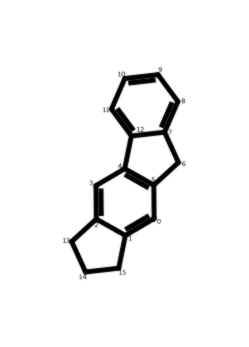 [c]1c2c(cc3c1Cc1ccccc1-3)CCC2